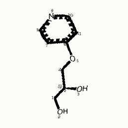 OC[C@H](O)COc1ccncc1